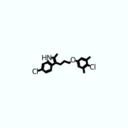 Cc1cc(OCCCc2c(C)[nH]c3cc(Cl)ccc23)cc(C)c1Cl